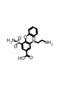 NCCNc1cc(C(=O)O)cc(S(N)(=O)=O)c1Oc1ccccc1